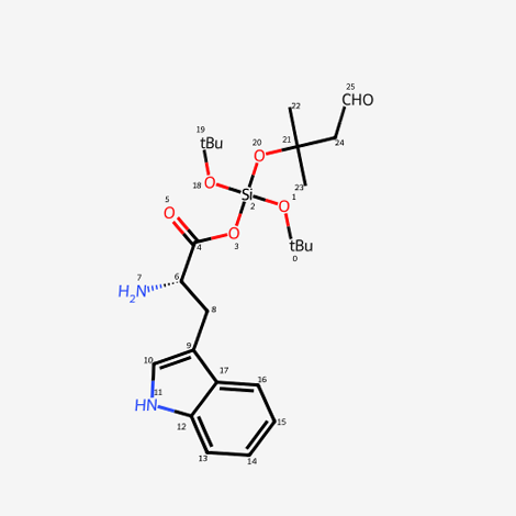 CC(C)(C)O[Si](OC(=O)[C@@H](N)Cc1c[nH]c2ccccc12)(OC(C)(C)C)OC(C)(C)CC=O